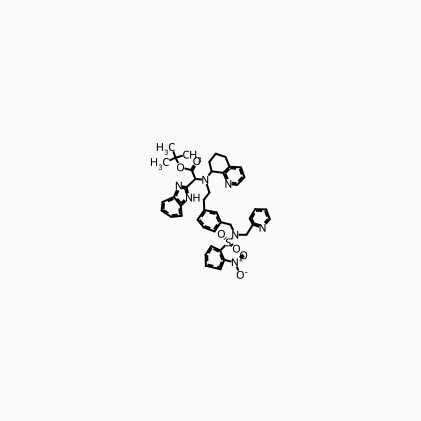 CC(C)(C)OC(=O)C(c1nc2ccccc2[nH]1)N(CCc1cccc(CN(Cc2ccccn2)S(=O)(=O)c2ccccc2[N+](=O)[O-])c1)C1CCCc2cccnc21